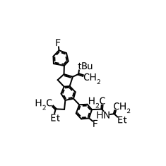 C=C(CC)Cc1cc2c(cc1-c1ccc(F)c(C(=C)NC(=C)CC)c1)C(C(=C)C(C)(C)C)=C(c1ccc(F)cc1)C2